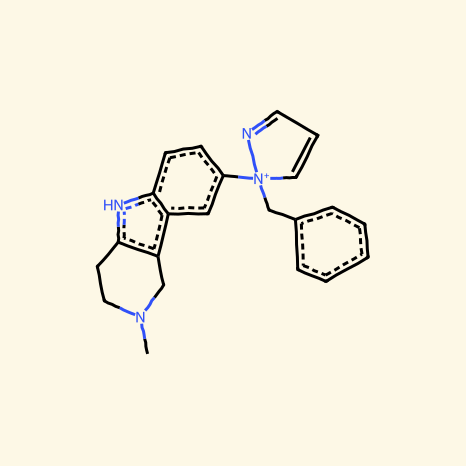 CN1CCc2[nH]c3ccc([N+]4(Cc5ccccc5)C=CC=N4)cc3c2C1